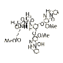 COC(=O)CCCCC(=O)N[C@@H](C)C(=O)N[C@@H](C)C(=O)Nc1cc(COc2cc3c(cc2OC)C(=O)N2c4ccccc4C[C@H]2C=N3)cc(COc2cc3c(cc2OC)C(O)N2c4ccccc4C[C@H]2C=N3)c1